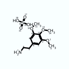 COc1cc(CCN)cc(OC)c1OC.O=S(=O)(O)O